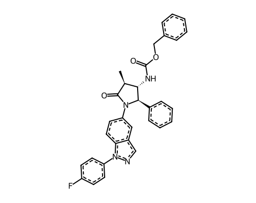 C[C@@H]1C(=O)N(c2ccc3c(cnn3-c3ccc(F)cc3)c2)[C@H](c2ccccc2)[C@H]1NC(=O)OCc1ccccc1